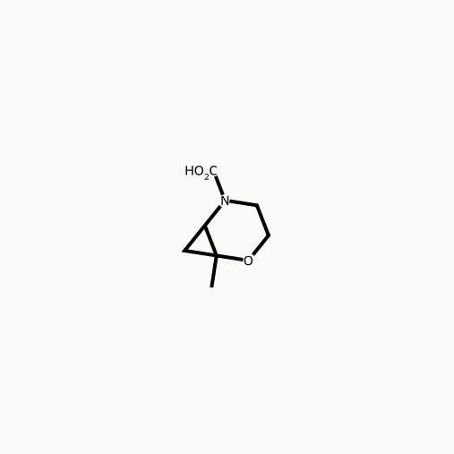 CC12CC1N(C(=O)O)CCO2